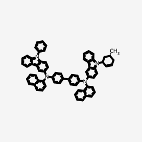 C[C@@H]1CC=CC(n2c3ccccc3c3cc(N(c4ccc(-c5ccc(N(c6ccc7c(c6)c6ccccc6n7-c6ccccc6)c6cccc7ccccc67)cc5)cc4)c4cccc5ccccc45)ccc32)C1